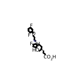 O=C(O)CCC[C@H]1CC[C@H]2[C@H](CC(F)[C@@H]2/C=C/CCOc2cc(F)ccc2F)OC1